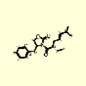 CC[C@@H](C/C=C/C(C)C)C(=O)N1C(=O)OCC1Cc1ccccc1